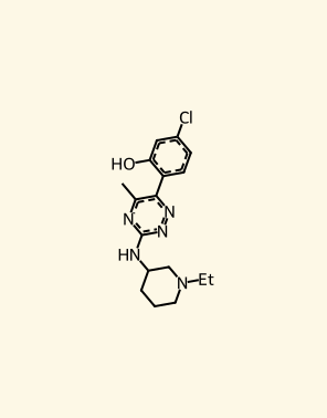 CCN1CCCC(Nc2nnc(-c3ccc(Cl)cc3O)c(C)n2)C1